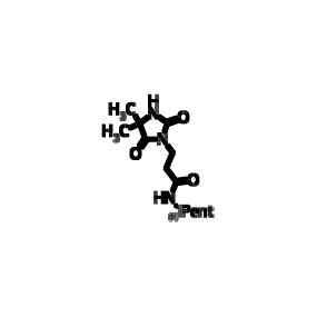 CCC[C@@H](C)NC(=O)CCN1C(=O)NC(C)(C)C1=O